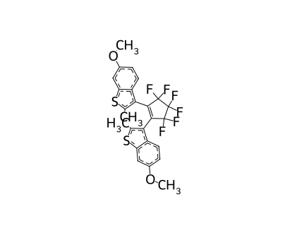 COc1ccc2c(C3=C(c4c(C)sc5cc(OC)ccc45)C(F)(F)C(F)(F)C3(F)F)c(C)sc2c1